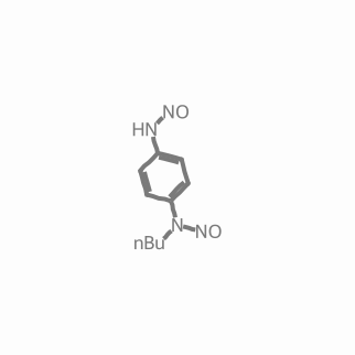 CCCCN(N=O)c1ccc(NN=O)cc1